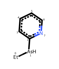 CC[AsH]c1ccccn1